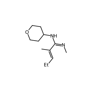 CC/C=C(C)/C(=N\C)NC1CCOCC1